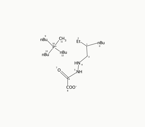 CCCCC(CC)CNNC(=O)C(=O)[O-].CCCC[P+](C)(CCCC)CCCC